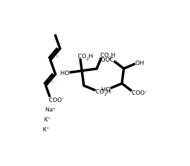 C/C=C/C=C/C(=O)[O-].O=C(O)CC(O)(CC(=O)O)C(=O)O.O=C([O-])C(O)C(O)C(=O)[O-].[K+].[K+].[Na+]